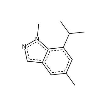 Cc1cc(C(C)C)c2c(cnn2C)c1